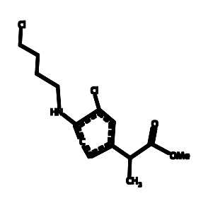 COC(=O)C(C)c1ccc(NCCCCCl)c(Cl)c1